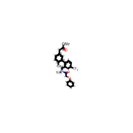 CCN(Cc1cc(C(F)(F)F)ccc1-c1cc(CC(=O)OC)ccc1OC)C(=O)COc1ccccc1